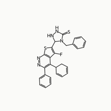 Fc1c(C2NNC(=S)N2Cc2ccccc2)sc2nnc(-c3ccccc3)c(C3C=CC=CC3)c12